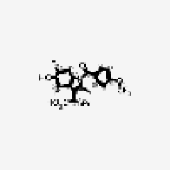 CCCC(C(=O)O)c1c(C)n(C(=O)c2ccc(OC(F)(F)F)cc2)c2cc(F)c(O)c(F)c12